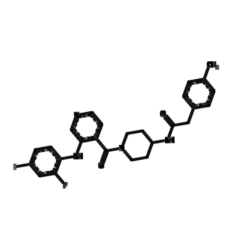 Cc1ccc(CC(=O)NC2CCN(C(=O)c3ccncc3Nc3ccc(I)cc3F)CC2)cc1